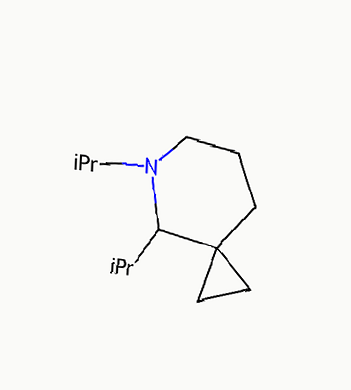 CC(C)C1N(C(C)C)CCCC12CC2